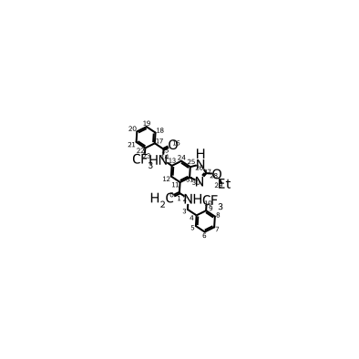 C=C(NCc1ccccc1C(F)(F)F)c1cc(NC(=O)c2ccccc2C(F)(F)F)cc2[nH]c(OCC)nc12